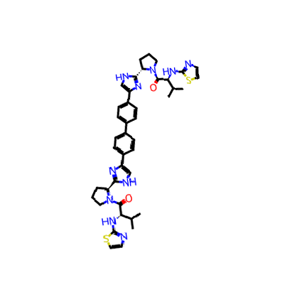 CC(C)[C@H](Nc1nccs1)C(=O)N1CCC[C@H]1c1nc(-c2ccc(-c3ccc(-c4c[nH]c([C@@H]5CCCN5C(=O)[C@@H](Nc5nccs5)C(C)C)n4)cc3)cc2)c[nH]1